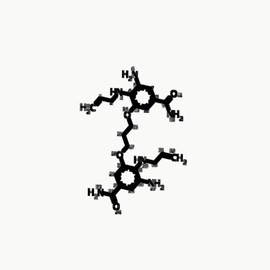 C=CCNc1c(N)cc(C(N)=O)cc1OCCCOc1cc(C(N)=O)cc(N)c1NCC=C